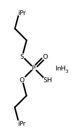 CC(C)CCOP(=O)(S)SCCC(C)C.[InH3]